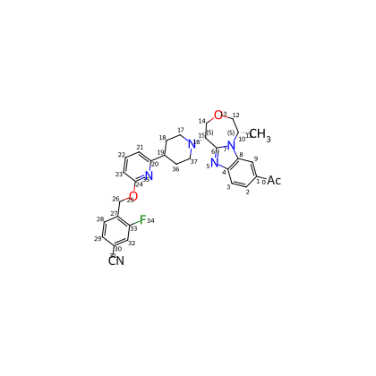 CC(=O)c1ccc2nc3n(c2c1)[C@@H](C)COC[C@H]3N1CCC(c2cccc(OCc3ccc(C#N)cc3F)n2)CC1